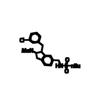 CCCCS(=O)(=O)NCc1ccc2c(c1)C(Cc1cccc(Cl)c1)C(NC)C2